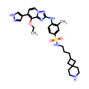 CCOc1c(-c2cn[nH]c2)ccn2nc(Nc3ccc(S(=O)(=O)NCCCC4CC5(CCNCC5)C4)cc3C)nc12